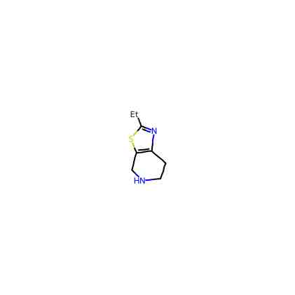 CCc1nc2c(s1)CNCC2